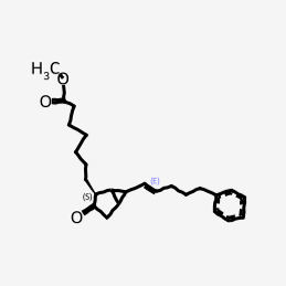 COC(=O)CCCCCC[C@@H]1C(=O)CC2C(/C=C/CCCc3ccccc3)C21